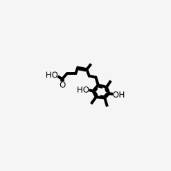 C/C(=C/CCC(=O)O)CCc1c(C)c(O)c(C)c(C)c1O